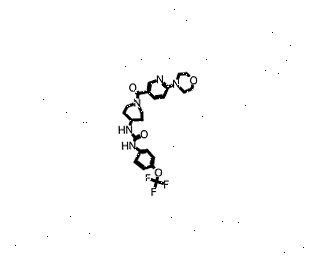 O=C(Nc1ccc(OC(F)(F)F)cc1)NC1CCN(C(=O)c2ccc(N3CCOCC3)nc2)CC1